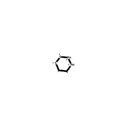 C1CSSPP1